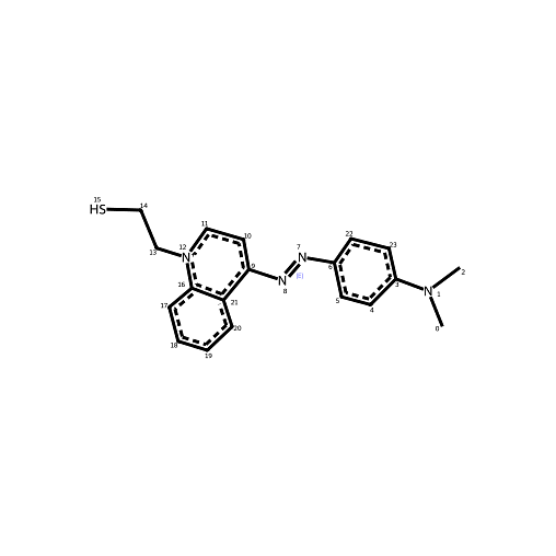 CN(C)c1ccc(/N=N/c2cc[n+](CCS)c3ccccc23)cc1